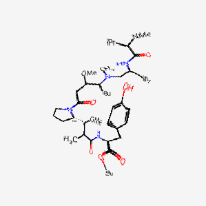 CCC(C)C(C(CC(=O)N1CCC[C@H]1C(OC)C(C)C(=O)NC(Cc1ccc(O)cc1)C(=O)OC(C)(C)C)OC)N(C)CC(NC(=O)C(NC)C(C)C)C(C)C